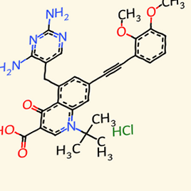 COc1cccc(C#Cc2cc(Cc3cnc(N)nc3N)c3c(=O)c(C(=O)O)cn(C(C)(C)C)c3c2)c1OC.Cl